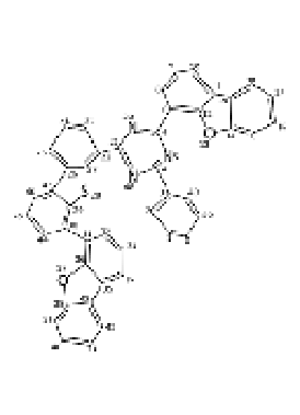 c1ccc(-c2nc(-c3cccc4c3oc3ccccc34)nc(-c3cccc4c3sc3c(-c5cccc6c5oc5ccccc56)cccc34)n2)cc1